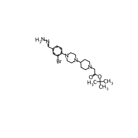 CC(C)(C)OC(=O)CN1CCC(N2CCN(c3ccc(C=NN)cc3Br)CC2)CC1